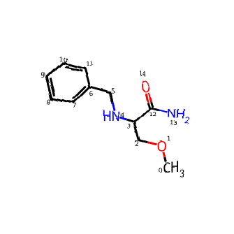 COCC(NCc1ccccc1)C(N)=O